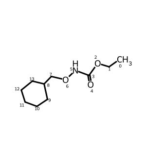 CCOC(=O)NOCC1CCCCC1